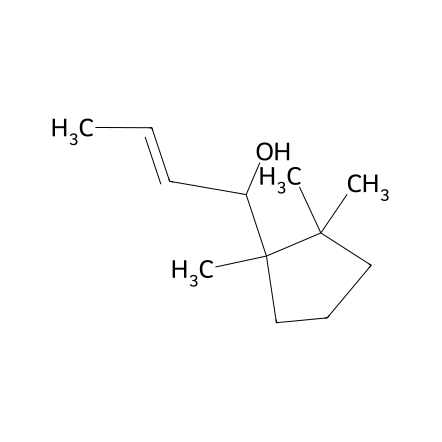 CC=CC(O)C1(C)CCCC1(C)C